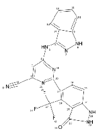 N#Cc1cc(Nc2n[nH]c3ccccc23)nc(-c2ccc3[nH][nH]c(=O)c3c2C(F)(F)F)n1